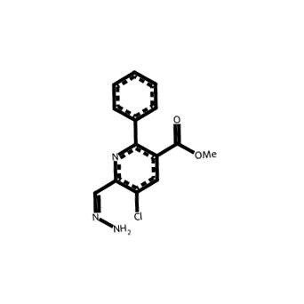 COC(=O)c1cc(Cl)c(/C=N\N)nc1-c1ccccc1